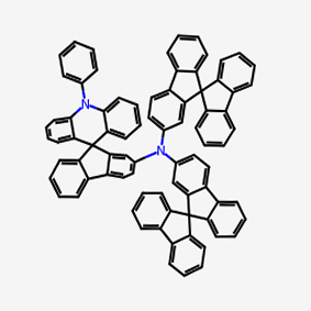 c1ccc(N2c3ccccc3C3(c4ccccc4-c4ccc(N(c5ccc6c(c5)C5(c7ccccc7-c7ccccc75)c5ccccc5-6)c5ccc6c(c5)C5(c7ccccc7-c7ccccc75)c5ccccc5-6)cc43)c3ccccc32)cc1